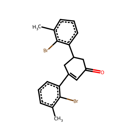 Cc1cccc(C2=CC(=O)CC(c3cccc(C)c3Br)C2)c1Br